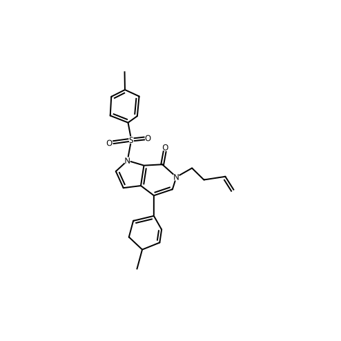 C=CCCn1cc(C2=CCC(C)C=C2)c2ccn(S(=O)(=O)c3ccc(C)cc3)c2c1=O